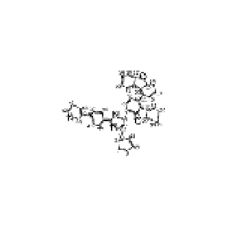 c1ccc(-c2cc(-c3ccc(-c4cccc5oc6ccccc6c45)c4c3oc3ccccc34)nc(-c3ccc(-c4cccnc4)cc3)n2)cc1